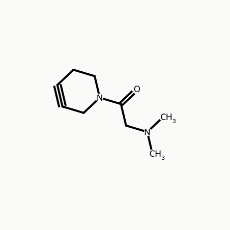 CN(C)CC(=O)N1CC#CCC1